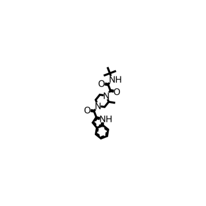 CC1CN(C(=O)c2cc3ccccc3[nH]2)CCN1C(=O)C(=O)NC(C)(C)C